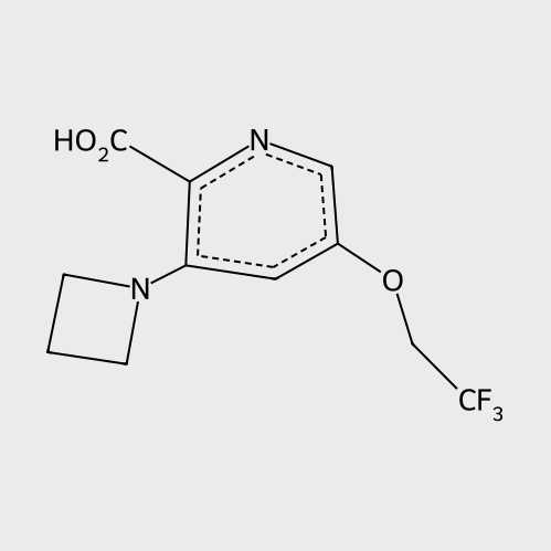 O=C(O)c1ncc(OCC(F)(F)F)cc1N1CCC1